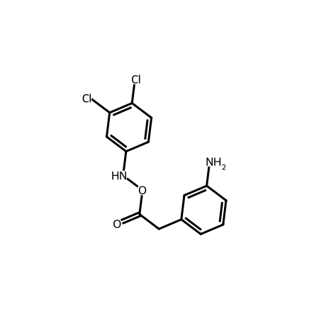 Nc1cccc(CC(=O)ONc2ccc(Cl)c(Cl)c2)c1